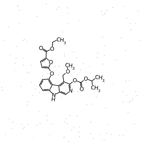 CCOC(=O)c1ccc(Oc2cccc3[nH]c4cnc(OC(=O)OC(C)C)c(COC)c4c23)o1